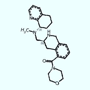 CN(C[C@@H]1Cc2c(cccc2C(=O)N2CCOCC2)CN1)[C@H]1CCCc2cccnc21